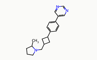 CC1CCCN1CC1CC(c2ccc(-c3cncnc3)cc2)C1